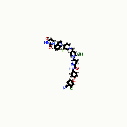 Cl.N#Cc1ccc(O[C@H]2CC[C@H](NC(=O)c3ccc(N4CCC(CN5CC[C@H](n6ccc7c(N8CCC(=O)NC8=O)cccc76)[C@H](F)C5)CC4)nn3)CC2)cc1Cl